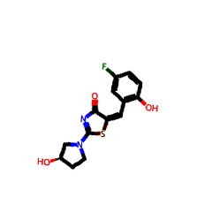 O=C1N=C(N2CC[C@@H](O)C2)SC1=Cc1cc(F)ccc1O